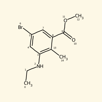 CCNc1cc(Br)cc(C(=O)OC)c1C